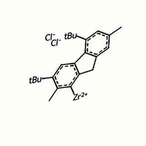 Cc1cc2c(c(C(C)(C)C)c1)-c1cc(C(C)(C)C)c(C)[c]([Zr+2])c1C2.[Cl-].[Cl-]